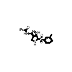 Cc1cccc(S(=O)(=O)C2NCc3c(NC(=O)C(C)C)n[nH]c32)c1